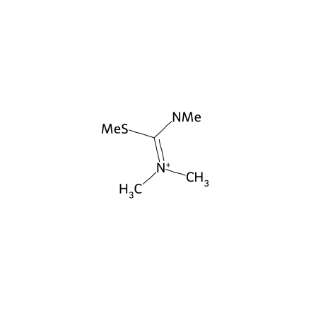 CNC(SC)=[N+](C)C